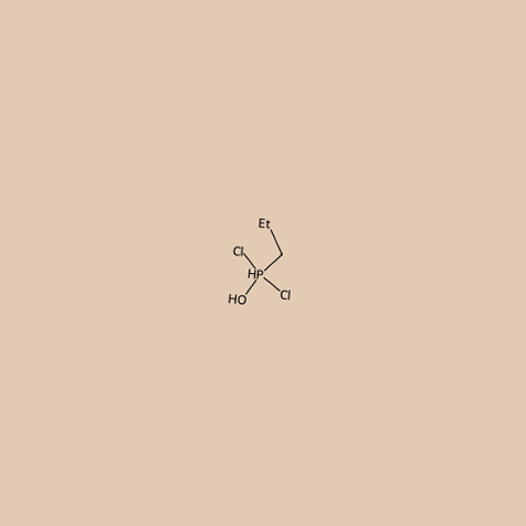 CCC[PH](O)(Cl)Cl